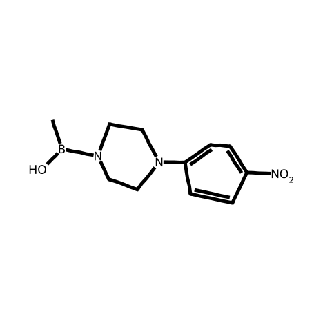 CB(O)N1CCN(c2ccc([N+](=O)[O-])cc2)CC1